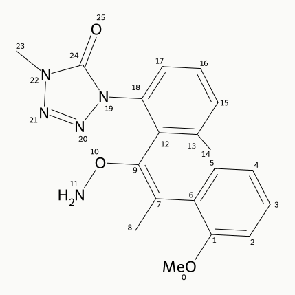 COc1ccccc1/C(C)=C(/ON)c1c(C)cccc1-n1nnn(C)c1=O